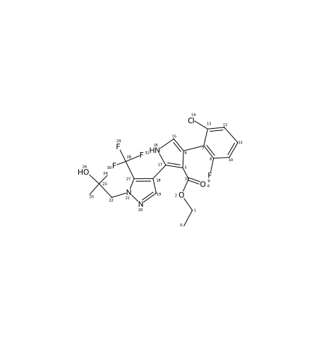 CCOC(=O)c1c(-c2c(F)cccc2Cl)c[nH]c1-c1cnn(CC(C)(C)O)c1C(F)(F)F